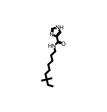 CCC(C)(C)CCCCCCNC(=O)c1c[nH]cn1